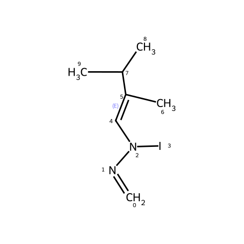 C=NN(I)/C=C(\C)C(C)C